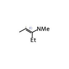 C/[C]=C(\CC)NC